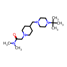 CN(C)C(=O)CN1CCC(CN2CCN(C(C)(C)C)CC2)CC1